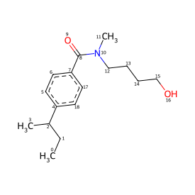 CCC(C)c1ccc(C(=O)N(C)CCCCO)cc1